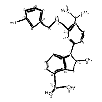 CC(C)c1cnc(N2c3cccc(B(O)O)c3CC2C)nc1NCc1cccc(F)c1